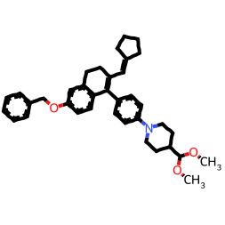 COC(OC)C1CCN(c2ccc(C3=C(C=C4CCCC4)CCc4cc(OCc5ccccc5)ccc43)cc2)CC1